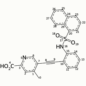 Cc1cc(C(=O)O)ncc1C#Cc1ccccc1NS(=O)(=O)c1cccc2ccccc12